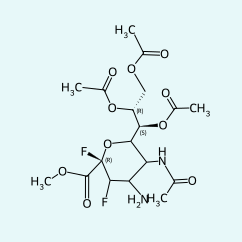 COC(=O)[C@]1(F)OC([C@H](OC(C)=O)[C@@H](COC(C)=O)OC(C)=O)C(NC(C)=O)C(N)C1F